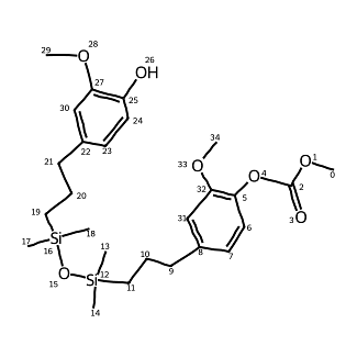 COC(=O)Oc1ccc(CCC[Si](C)(C)O[Si](C)(C)CCCc2ccc(O)c(OC)c2)cc1OC